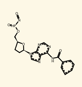 O=N[PH](=O)OC[C@@H]1CC[C@H](n2cnc3c(NC(=O)c4ccccc4)ncnc32)O1